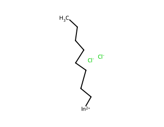 CCCCCCC[CH2][In+2].[Cl-].[Cl-]